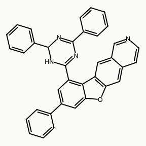 c1ccc(C2=NC(c3ccccc3)NC(c3cc(-c4ccccc4)cc4oc5cc6ccncc6cc5c34)=N2)cc1